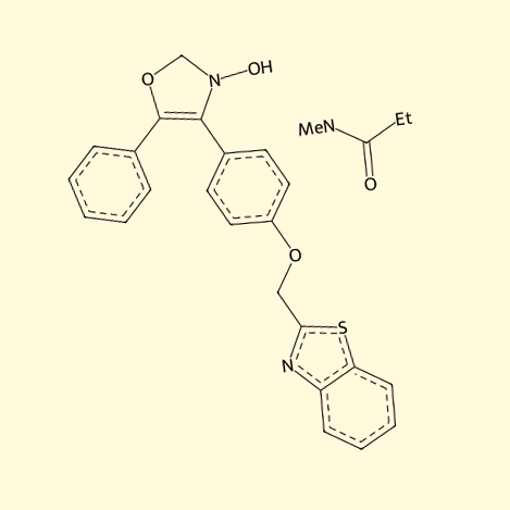 CCC(=O)NC.ON1COC(c2ccccc2)=C1c1ccc(OCc2nc3ccccc3s2)cc1